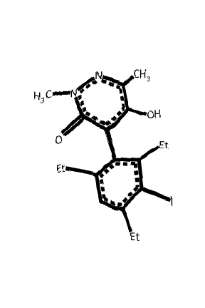 CCc1cc(CC)c(-c2c(O)c(C)nn(C)c2=O)c(CC)c1I